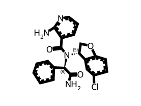 NC(=O)[C@@H](c1ccccc1)N(C(=O)c1cccnc1N)[C@@H]1COc2ccc(Cl)cc21